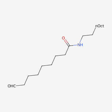 CCCCCCCCCCNC(=O)CCCCCCCC=O